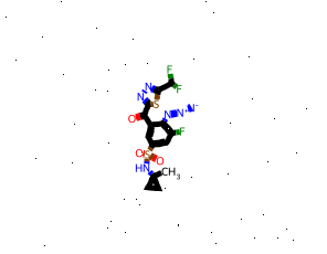 CC1(NS(=O)(=O)c2cc(F)c(N=[N+]=[N-])c(C(=O)c3nnc(C(F)F)s3)c2)CC1